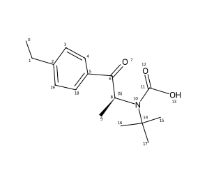 CCc1ccc(C(=O)[C@H](C)N(C(=O)O)C(C)(C)C)cc1